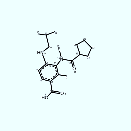 Cc1c(C(=O)O)ccc(NCC(C)C)c1N(F)C(=O)C1CCCC1